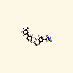 Cc1cc(-c2ccc(CN3C=Cc4cc(-c5cncs5)ncc4C3)cc2)ccn1